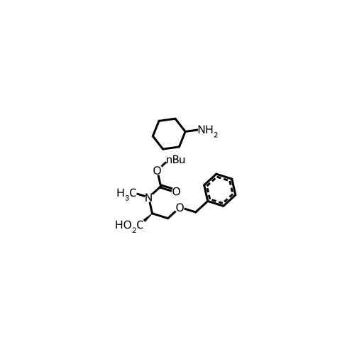 CCCCOC(=O)N(C)[C@@H](COCc1ccccc1)C(=O)O.NC1CCCCC1